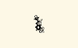 CNC(Cc1ccc2c(c1)OCO2)C1COC1